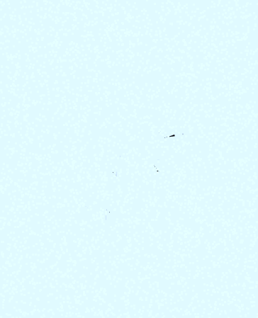 O=c1ccn([C@@H]2C=C(CF)[C@@H](O)[C@H]2O)c(=O)[nH]1